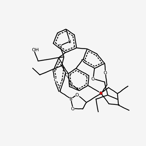 CCC(C)COc1cc2c3cc1OCC(CC)C(CO)OB(C)c1ccc4c(c1)-c1cc(c(OCC(C)CC)cc1-2)OCC(CC)C1COB(O1)c1ccc-4c-3c1